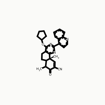 CC1C(=O)C(C#N)=C[C@@]2(C)c3nc(-c4ccnc5ccccc45)nc(OC4CCCC4)c3CCC12